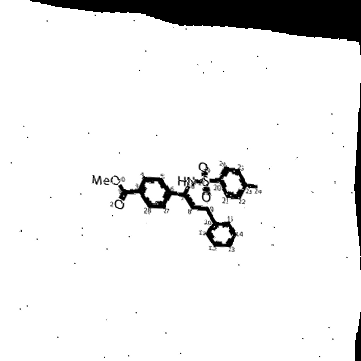 COC(=O)c1ccc(C(=CCc2ccccc2)NS(=O)(=O)c2ccc(C)cc2)cc1